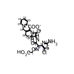 Nc1nc(/C(=N/OCC(=O)O)C(=O)NC2C(=O)N3C(C(=O)[O-])=C(C[n+]4ccccc4)CS[C@H]23)c(Cl)s1